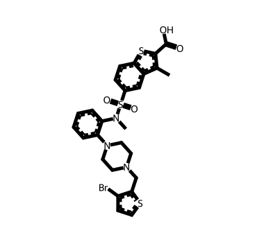 Cc1c(C(=O)O)sc2ccc(S(=O)(=O)N(C)c3ccccc3N3CCN(Cc4sccc4Br)CC3)cc12